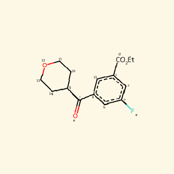 CCOC(=O)c1cc(F)cc(C(=O)C2CCOCC2)c1